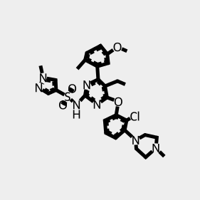 CCc1c(Oc2cccc(N3CCN(C)CC3)c2Cl)nc(NS(=O)(=O)c2cnn(C)c2)nc1-c1cc(OC)ccc1C